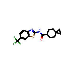 O=C(Nc1nc2ccc(C(F)(F)F)cc2s1)C1CCC2(CC1)CC2